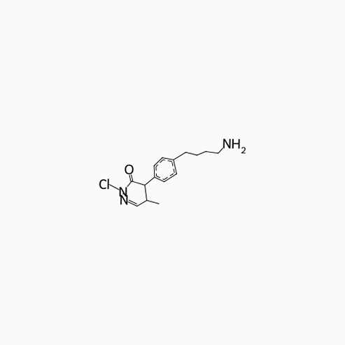 CC1C=NN(Cl)C(=O)C1c1ccc(CCCCN)cc1